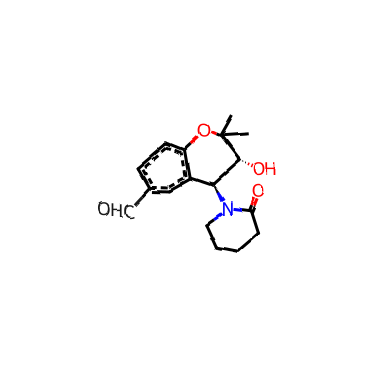 CC1(C)Oc2ccc(C=O)cc2[C@H](N2CCCCC2=O)[C@H]1O